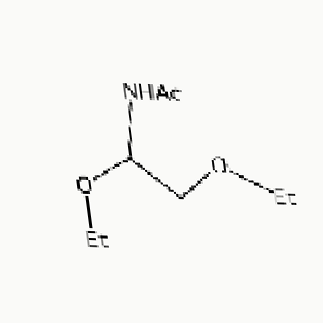 [CH2]COC(COCC)NC(C)=O